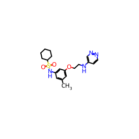 Cc1cc(NS(=O)(=O)C2CCCCC2)cc(OCCNc2ccnnc2)c1